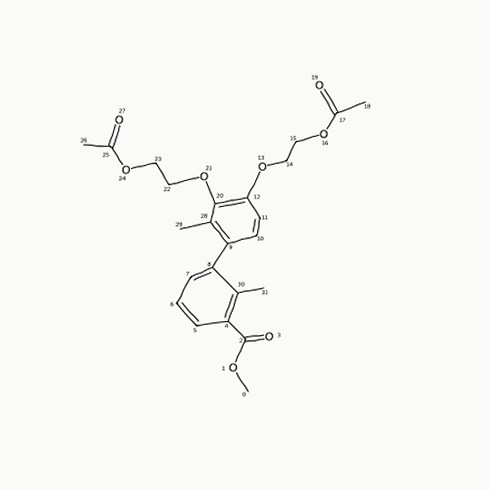 COC(=O)c1cccc(-c2ccc(OCCOC(C)=O)c(OCCOC(C)=O)c2C)c1C